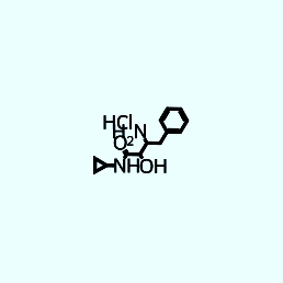 Cl.NC(Cc1ccccc1)C(O)C(=O)NC1CC1